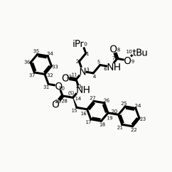 CC(C)CCN(CCNC(=O)OC(C)(C)C)C(=O)N[C@@H](Cc1ccc(-c2ccccc2)cc1)C(=O)OCc1ccccc1